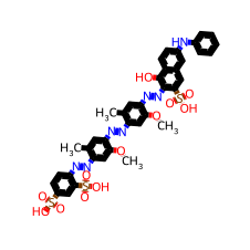 COc1cc(N=Nc2ccc(S(=O)(=O)O)cc2S(=O)(=O)O)c(C)cc1N=Nc1cc(OC)c(N=Nc2c(S(=O)(=O)O)cc3cc(Nc4ccccc4)ccc3c2O)cc1C